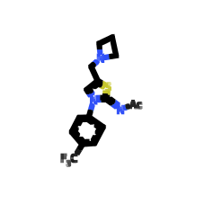 CC(=O)N=c1sc(CN2CCC2)cn1-c1ccc(C(F)(F)F)cc1